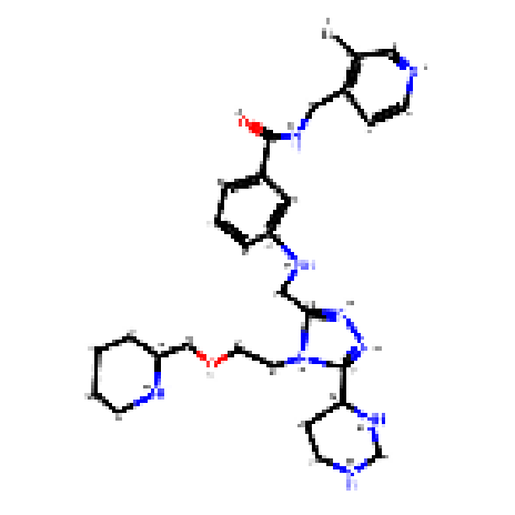 CCc1cnccc1CNC(=O)c1cccc(NCc2nnc(C3CCNCN3)n2CCOCC2CCCCN2)c1